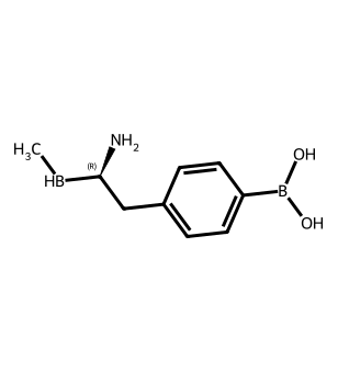 CB[C@@H](N)Cc1ccc(B(O)O)cc1